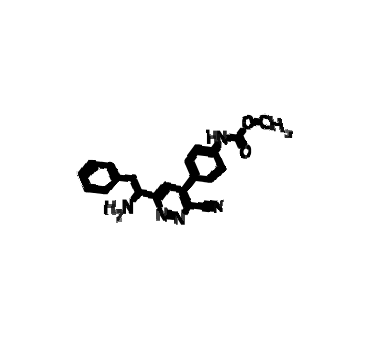 COC(=O)Nc1ccc(-c2cc(C(N)Cc3ccccc3)nnc2C#N)cc1